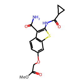 COC(=O)COc1ccc2c(C(N)=O)c(NC(=O)C3CC3)sc2c1